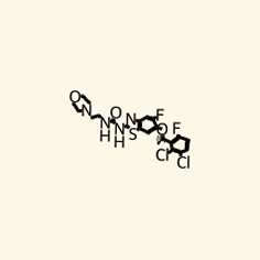 C[C@@H](Oc1cc2sc(NC(=O)NCCN3CCOCC3)nc2cc1F)c1c(F)ccc(Cl)c1Cl